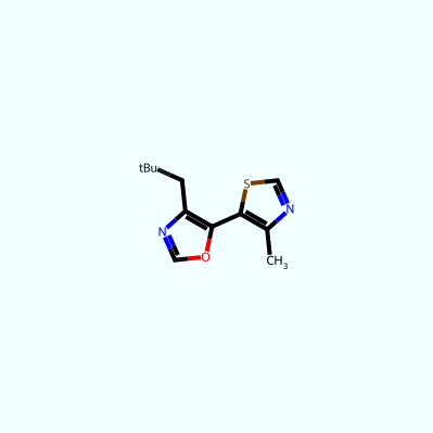 Cc1ncsc1-c1ocnc1CC(C)(C)C